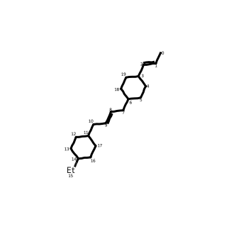 CC=CC1CCC(CC=CCC2CCC(CC)CC2)CC1